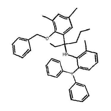 CCCC(CC)(Pc1c(C)cccc1P(c1ccccc1)c1ccccc1)c1cc(C)cc(C)c1OCc1ccccc1